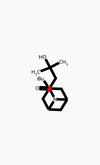 CCC(C)N1CC2CC(C1)N2C(=O)CC(C)(C)O